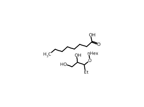 CCCCCCCC(=O)O.CCCCCCOC(CC)C(O)CO